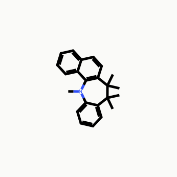 CN1c2ccccc2C(C)(C)C(C)(C)c2ccc3ccccc3c21